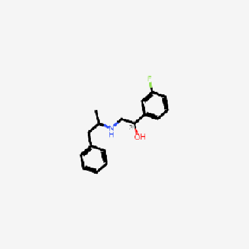 CC(Cc1ccccc1)NC[C@H](O)c1cccc(F)c1